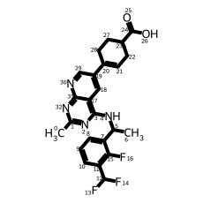 Cc1nc(NC(C)c2cccc(C(F)F)c2F)c2cc(C3=CCC(C(=O)O)CC3)cnc2n1